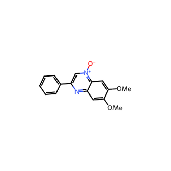 COc1cc2nc(-c3ccccc3)c[n+]([O-])c2cc1OC